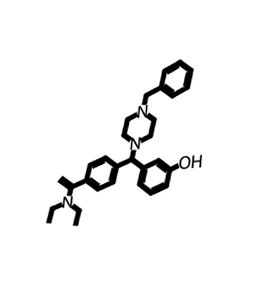 C=C(c1ccc(C(c2cccc(O)c2)N2CCN(Cc3ccccc3)CC2)cc1)N(CC)CC